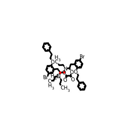 CCCN(CCC)C(Cc1cc(Br)ccc1OCCc1ccccc1)OC(=O)C(=O)OC(Cc1cc(Br)ccc1OCCc1ccccc1)N(CCC)CCC